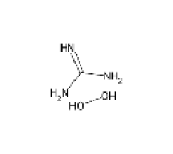 N=C(N)N.OO